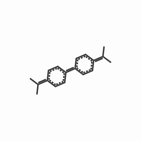 CC(C)=c1ccc(=c2ccc(=C(C)C)cc2)cc1